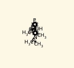 CCN(C)/C=N/c1cc(OC)c(C(O)(c2ccc(F)cc2)C(F)(F)F)cc1C